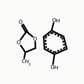 CC1COC(=O)O1.Oc1ccc(O)cc1